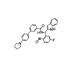 O=Nc1ccc(F)cc1[C@@H](NC(=O)c1cccc(-c2ccc(N3CCCC3)cc2)c1)c1cc2ccccc2[nH]1